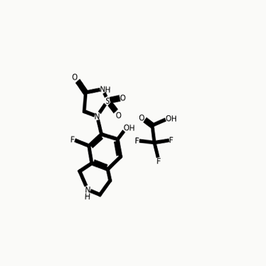 O=C(O)C(F)(F)F.O=C1CN(c2c(O)cc3c(c2F)CNCC3)S(=O)(=O)N1